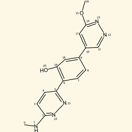 CNc1ccc(-c2ccc(-c3cnnc(OC)c3)cc2O)nn1